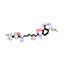 COc1ccc(NC(=O)CCC(O)CCCNC(=O)OC(C)(C)C)c(O)c1C(N)=O